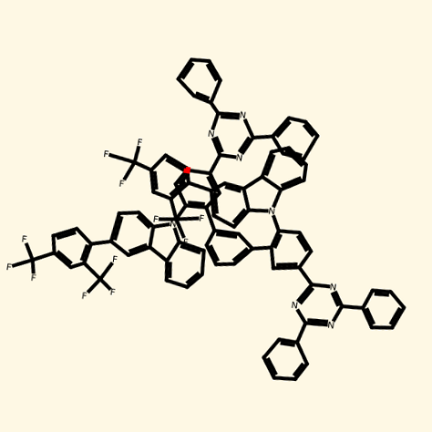 FC(F)(F)c1ccc(-c2ccc3c(c2)c2ccccc2n3-c2ccc(-c3nc(-c4ccccc4)nc(-c4ccccc4)n3)cc2-c2cccc(-c3cc(-c4nc(-c5ccccc5)nc(-c5ccccc5)n4)ccc3-n3c4ccccc4c4cc(-c5ccc(C(F)(F)F)cc5C(F)(F)F)ccc43)c2)c(C(F)(F)F)c1